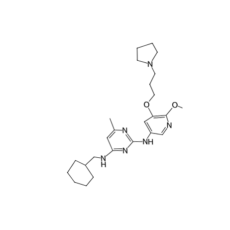 COc1ncc(Nc2nc(C)cc(NCC3CCCCC3)n2)cc1OCCCN1CCCC1